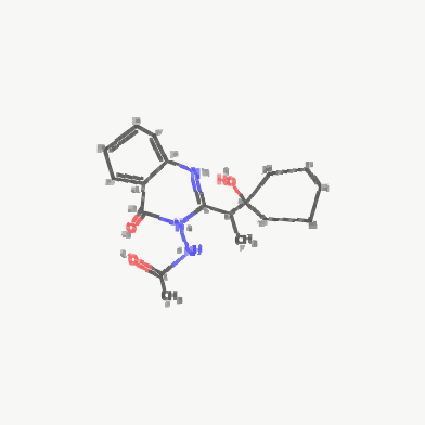 CC(=O)Nn1c(C(C)C2(O)CCCCC2)nc2ccccc2c1=O